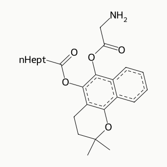 CCCCCCCC(=O)Oc1c2c(c3ccccc3c1OC(=O)CN)OC(C)(C)CC2